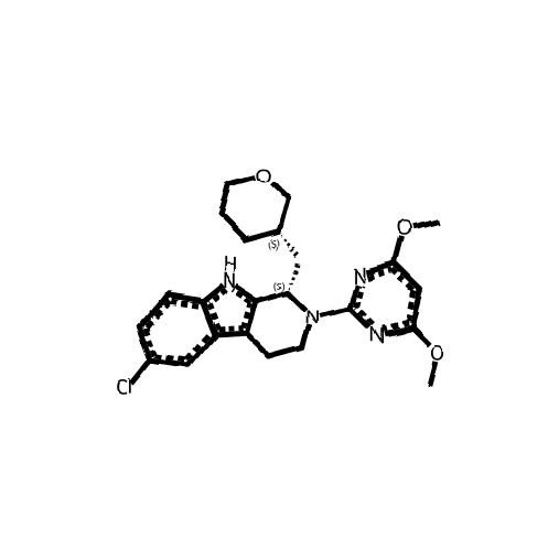 COc1cc(OC)nc(N2CCc3c([nH]c4ccc(Cl)cc34)[C@@H]2C[C@@H]2CCCOC2)n1